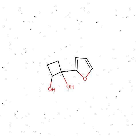 OC1CCC1(O)c1ccco1